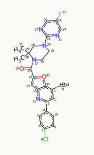 CC(C)(C)c1cc(-c2ccc(Cl)cc2)nc2cc(C(=O)N3CCN(c4ncc(F)cn4)CC3(C)C)oc12